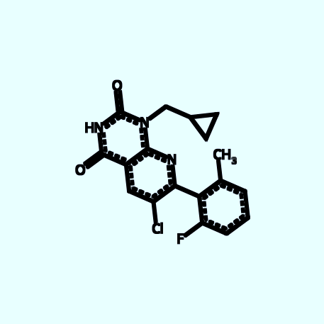 Cc1cccc(F)c1-c1nc2c(cc1Cl)c(=O)[nH]c(=O)n2CC1CC1